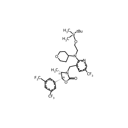 C[C@H]1[C@@H](c2cc(C(F)(F)F)cc(C(F)(F)F)c2)OC(=O)N1Cc1cc(C(F)(F)F)cnc1N(CCO[Si](C)(C)C(C)(C)C)C1CCOCC1